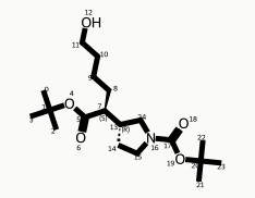 CC(C)(C)OC(=O)[C@@H](CCCCO)[C@H]1CCN(C(=O)OC(C)(C)C)C1